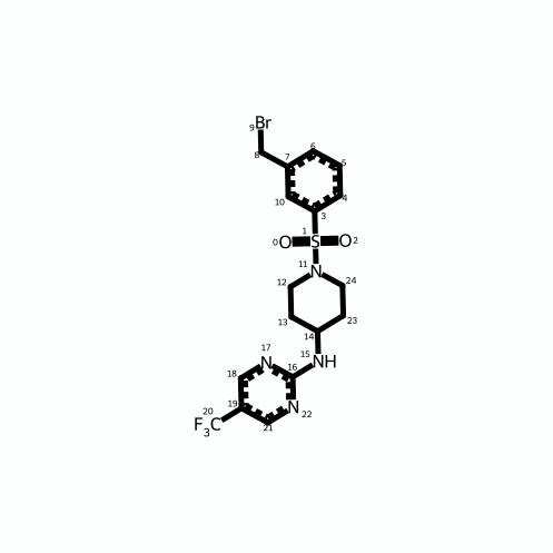 O=S(=O)(c1cccc(CBr)c1)N1CCC(Nc2ncc(C(F)(F)F)cn2)CC1